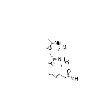 CCCCCC(=O)O.COC(C)NC(C)OC.COC(C)NC(C)OC